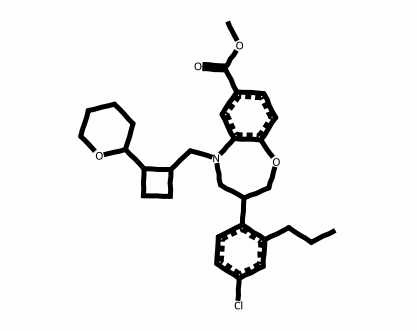 CCCc1cc(Cl)ccc1C1COc2ccc(C(=O)OC)cc2N(CC2CCC2C2CCCCO2)C1